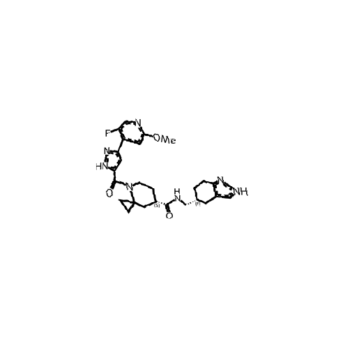 COc1cc(-c2cc(C(=O)N3CC[C@H](C(=O)NC[C@@H]4CCc5n[nH]cc5C4)CC34CC4)[nH]n2)c(F)cn1